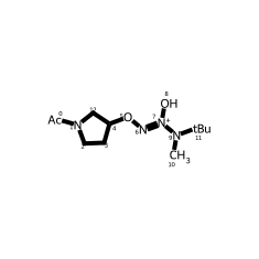 CC(=O)N1CCC(ON=[N+](O)N(C)C(C)(C)C)C1